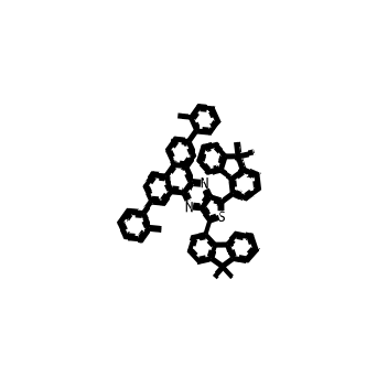 Cc1ccccc1-c1ccc2c3ccc(-c4ccccc4C)cc3c3nc4c(-c5cccc6c5-c5ccccc5C6(C)C)sc(-c5cccc6c5-c5ccccc5C6(C)C)c4nc3c2c1